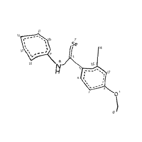 COc1ccc(C(=[Se])Nc2ccccc2)c(C)c1